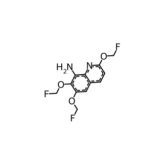 Nc1c(OCF)c(OCF)cc2ccc(OCF)nc12